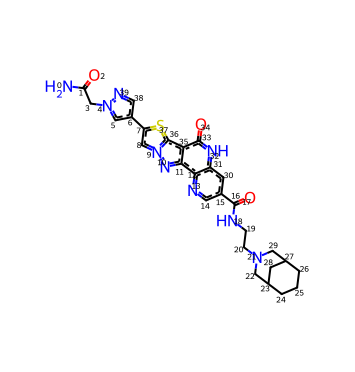 NC(=O)Cn1cc(-c2cn3nc4c5ncc(C(=O)NCCN6CC7CCCC(C7)C6)cc5[nH]c(=O)c4c3s2)cn1